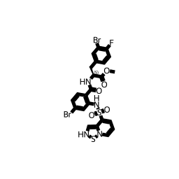 COC(=O)[C@H](Cc1ccc(F)c(Br)c1)NC(=O)c1ccc(Br)cc1NS(=O)(=O)C1=CC=CN2SNC=C12